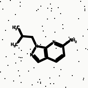 CC(C)Cn1ncc2ccc(N)nc21